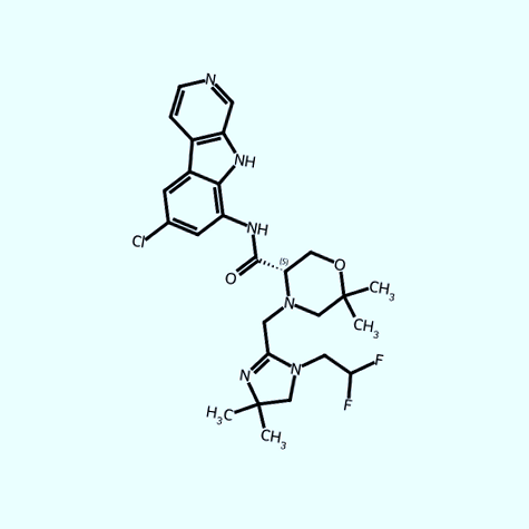 CC1(C)CN(CC(F)F)C(CN2CC(C)(C)OC[C@H]2C(=O)Nc2cc(Cl)cc3c2[nH]c2cnccc23)=N1